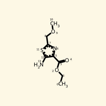 CCOC(=O)c1nc(COC)sc1N